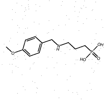 COc1ccc(CNCCCP(=O)(O)O)cc1